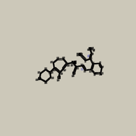 N=C/C(=C\N)c1ccncc1/C=C/C(=O)NC1=CC(Cl)=C(N2CCOCC2)CC=C1